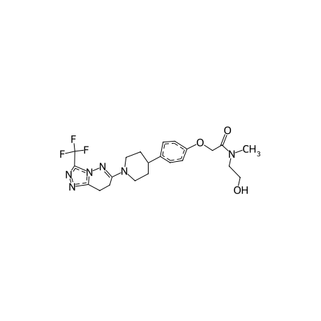 CN(CCO)C(=O)COc1ccc(C2CCN(C3=Nn4c(nnc4C(F)(F)F)CC3)CC2)cc1